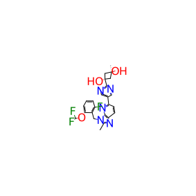 Cc1nc2ccc(-c3cnc([C@]4(O)C[C@](C)(O)C4)nc3)nc2n1Cc1c(F)cccc1OC(F)F